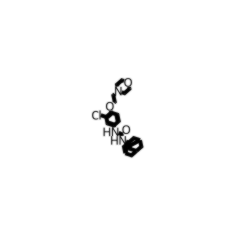 O=C(Nc1ccc(OCCN2CCOCC2)c(Cl)c1)NC12CC3CC(CC(C3)C1)C2